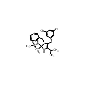 CC(C)C1=C(Sc2cc(Cl)cc(Cl)c2)N(Cc2cccnc2)C(C)(NS(C)(=O)=O)N1